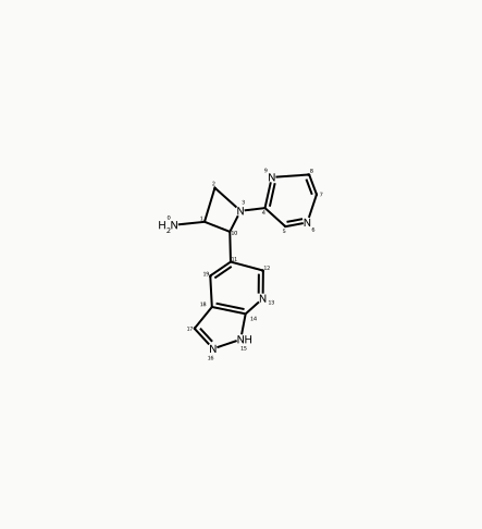 NC1CN(c2cnccn2)C1c1cnc2[nH]ncc2c1